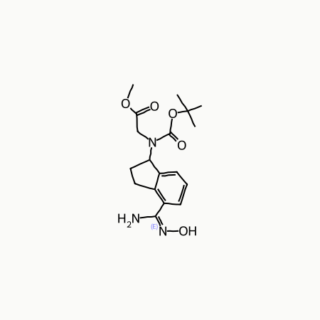 COC(=O)CN(C(=O)OC(C)(C)C)C1CCc2c(/C(N)=N\O)cccc21